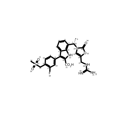 C[C@@H](c1cccc2c(-c3ccc(CS(C)(=O)=O)c(F)c3)c(C(=O)O)[nH]c12)n1cc(CNC(=N)N)oc1=O